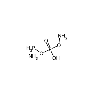 N.NOP(=O)(O)OP